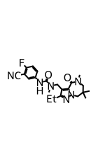 CCc1nn2c(c1CN(C)C(=O)Nc1ccc(F)c(C#N)c1)C(=O)N(C)CC(C)(C)C2